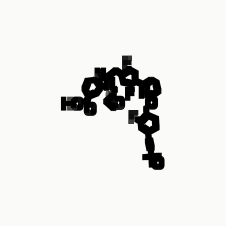 CC1(C#Cc2ccc(COc3cccc(-c4cc(F)c(Cc5nc6ccc(C(=O)O)cc6n5C[C@@H]5CCO5)cc4F)n3)c(F)c2)COC1